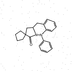 O=C1N2C(Cc3ccccc3N2c2ccccc2)CC12CCCC2